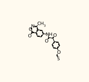 Cc1noc(=O)c2ccc(NC(=O)C(=O)c3ccc(OC=S)cc3)cc12